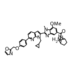 COc1cc(C(=O)N2CC3CCC2[C@@H]3N)cc2nc(-c3cc4ccc(-c5ccc(OCc6ncco6)cc5)nc4n3CC3CC3)n(C)c12